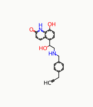 C#CCc1ccc(CNCC(O)c2ccc(O)c3[nH]c(=O)ccc23)cc1